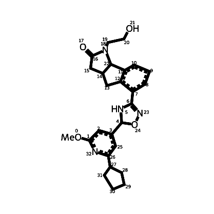 COc1cc(C2NC(c3cccc4c3CC3CC(=O)N(CCO)C43)=NO2)cc(C2CCCC2)n1